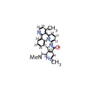 CNCc1nc(C)cc2c1CN(c1cccc(-c3c(C)ccnc3-c3ccccc3)n1)C2=O